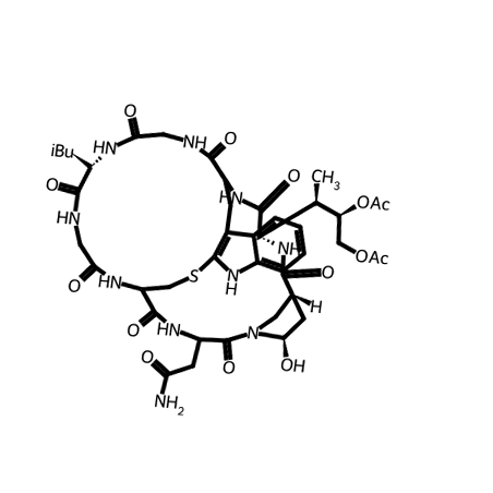 CC[C@H](C)[C@@H]1NC(=O)CNC(=O)C2Cc3c([nH]c4ccccc34)SCC(NC(=O)CNC1=O)C(=O)NC(CC(N)=O)C(=O)N1C[C@@H](C[C@H]1O)C(=O)N[C@@H]([C@@H](C)[C@H](COC(C)=O)OC(C)=O)C(=O)N2